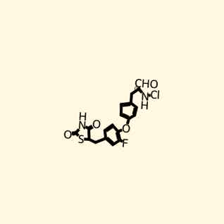 O=C[C@H](Cc1ccc(Oc2ccc(CC3SC(=O)NC3=O)cc2F)cc1)NCl